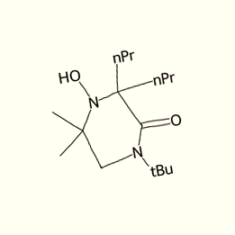 CCCC1(CCC)C(=O)N(C(C)(C)C)CC(C)(C)N1O